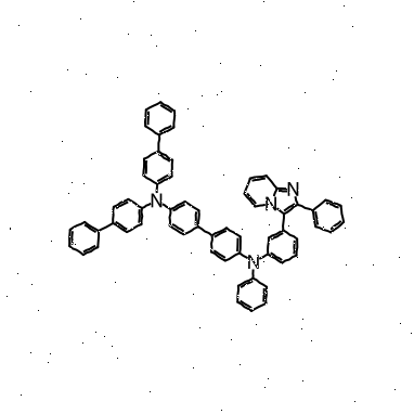 c1ccc(-c2ccc(N(c3ccc(-c4ccccc4)cc3)c3ccc(-c4ccc(N(c5ccccc5)c5cccc(-c6c(-c7ccccc7)nc7ccccn67)c5)cc4)cc3)cc2)cc1